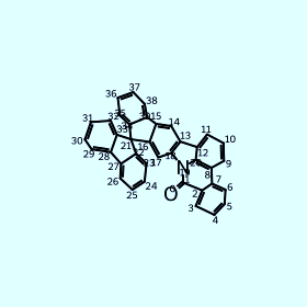 O=c1c2ccccc2c2cccc3c4cc5c(cc4n1c23)C1(c2ccccc2-c2ccccc21)c1ccccc1-5